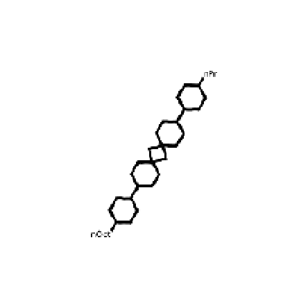 CCCCCCCCC1CCC(C2CCC3(CC2)CC2(CCC(C4CCC(CCC)CC4)CC2)C3)CC1